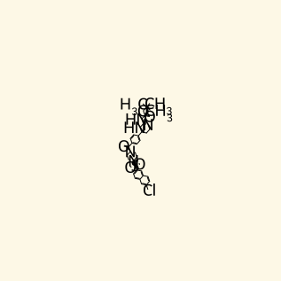 CC(C)(C)OC(=O)NC1=NCCC(c2ccc(C(=O)N3CCN(S(=O)(=O)c4ccc5cc(Cl)ccc5c4)CC3)cc2)N1